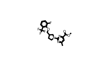 COC(=O)c1cc(C)nc(N2CCC(COc3c(F)cccc3C(F)(F)F)C2)n1